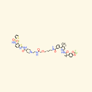 Cc1ccc(NC(=O)C2(c3ccc4c(c3)OC(F)(F)O4)CC2)nc1-c1cccc(C(=O)NCCCCCOCC(=O)NCCN2CCC(C(=O)Nc3nc4ccc(NS(=O)(=O)c5cccs5)c(F)c4s3)CC2)c1